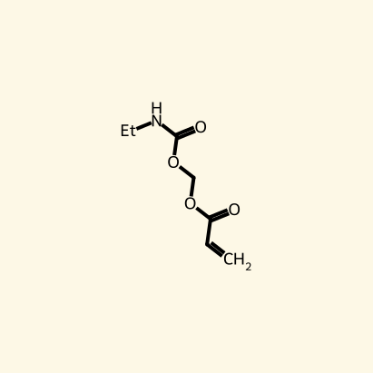 C=CC(=O)OCOC(=O)NCC